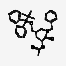 CC(=O)OC1CC(CO[Si](c2ccccc2)(c2ccccc2)C(C)(C)C)CN(Cc2ccccc2)C1=O